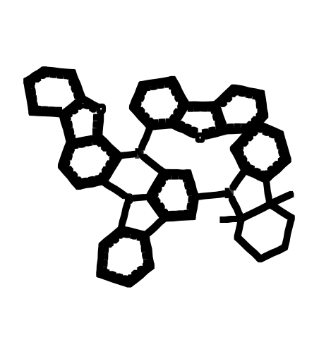 CC12CCCCC1(C)N(c1cc3c4c(c1)N(c1cccc5c1oc1ccccc15)c1c(ccc5c1oc1ccccc15)B4c1ccccc1-3)c1ccccc12